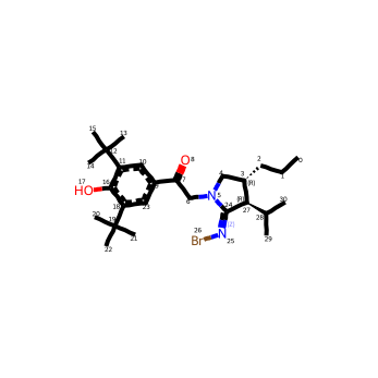 CCC[C@H]1CN(CC(=O)c2cc(C(C)(C)C)c(O)c(C(C)(C)C)c2)/C(=N\Br)[C@@H]1C(C)C